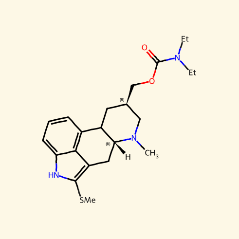 CCN(CC)C(=O)OC[C@@H]1CC2c3cccc4[nH]c(SC)c(c34)C[C@H]2N(C)C1